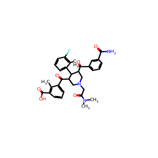 Cc1c(C(=O)O)cccc1C(=O)C1CN(CC(=O)N(C)C)CC(C(=O)c2cccc(C(N)=O)c2)C1c1cccc(F)c1C